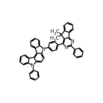 CC1(C)c2ccccc2-c2nc(-c3ccccc3)nc(-c3ccc(-n4c5ccccc5c5c6c7ccccc7n(-c7ccccc7)c6ccc54)cc3)c21